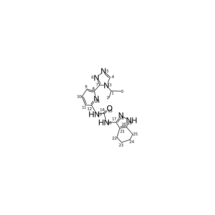 CC(C)n1cnnc1-c1cccc(NC(=O)Nc2n[nH]c3c2CCCC3)n1